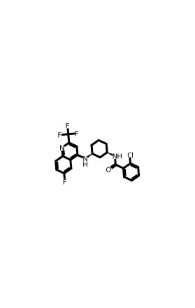 O=C(N[C@@H]1CCC[C@H](Nc2cc(C(F)(F)F)nc3ccc(F)cc23)C1)c1ccccc1Cl